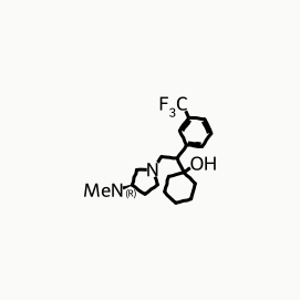 CN[C@@H]1CCN(CC(c2cccc(C(F)(F)F)c2)C2(O)CCCCC2)C1